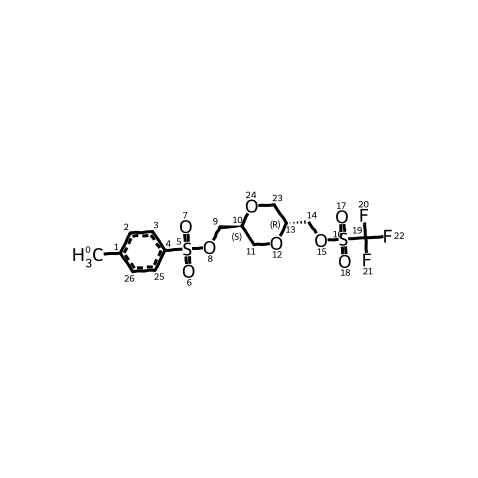 Cc1ccc(S(=O)(=O)OC[C@@H]2CO[C@@H](COS(=O)(=O)C(F)(F)F)CO2)cc1